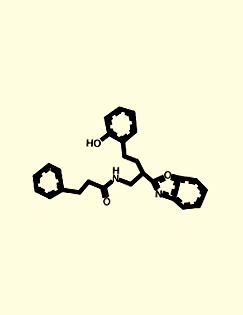 O=C(CCc1ccccc1)NCC(CCc1ccccc1O)c1nc2ccccc2o1